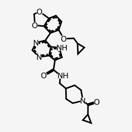 O=C(NCC1CCN(C(=O)C2CC2)CC1)c1c[nH]c2c(-c3c(OCC4CC4)ccc4c3OCO4)ncnc12